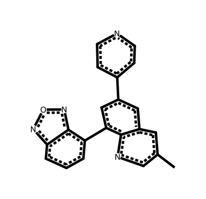 Cc1cnc2c(-c3cccc4nonc34)cc(-c3ccncc3)cc2c1